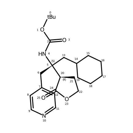 CC(C)(C)OC(=O)N[C@](Cc1ccncc1)(CC1CCCCC1)[C@H]1CCOC1=O